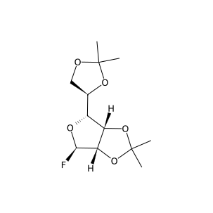 CC1(C)O[C@@H]2[C@H](O1)[C@@H](F)O[C@@H]2[C@H]1COC(C)(C)O1